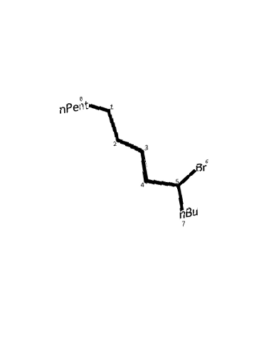 CCCCCCCCCC(Br)CCCC